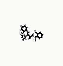 C=C(C(=O)Nc1ccccc1C)C1=Nc2ccccc2S(=O)(=O)N1CC